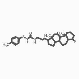 Cc1ccc(SNC(=O)NCCCC2CCC3C4CCC5C(F)CCCC5(C)C4CCC23C)cc1